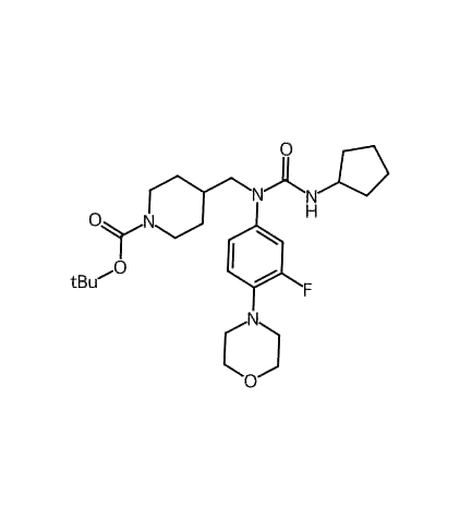 CC(C)(C)OC(=O)N1CCC(CN(C(=O)NC2CCCC2)c2ccc(N3CCOCC3)c(F)c2)CC1